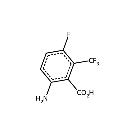 Nc1ccc(F)c(C(F)(F)F)c1C(=O)O